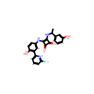 CC(Nc1c(Nc2ccc(O)c(-c3cccc(F)n3)c2)c(=O)c1=O)c1cccc(O)c1